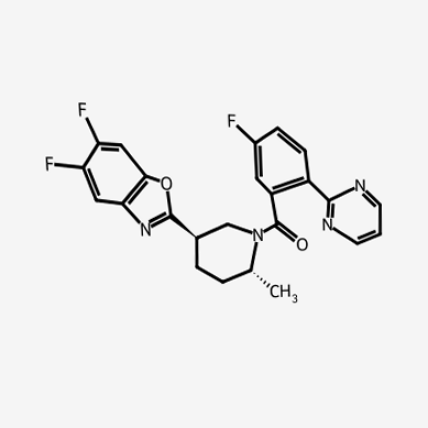 C[C@@H]1CC[C@@H](c2nc3cc(F)c(F)cc3o2)CN1C(=O)c1cc(F)ccc1-c1ncccn1